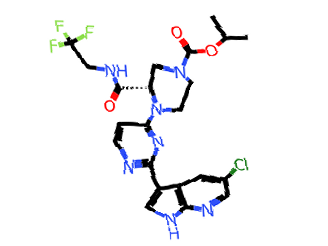 CC(C)OC(=O)N1CCN(c2ccnc(-c3c[nH]c4ncc(Cl)cc34)n2)[C@H](C(=O)NCC(F)(F)F)C1